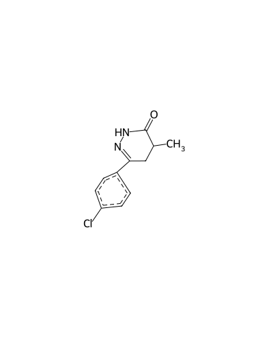 CC1CC(c2ccc(Cl)cc2)=NNC1=O